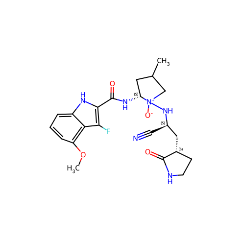 COc1cccc2[nH]c(C(=O)N[C@@H]3CC(C)C[N+]3([O-])N[C@H](C#N)C[C@@H]3CCNC3=O)c(F)c12